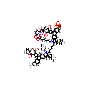 CC[N+]1=C(/C=C/C=C/C=C2\N(CCCCCC(=O)ON3C(=O)CCC3=O)c3cc4c(cc3C2(C)C)-c2ccc(S(=O)(=O)[O-])cc2C4(CCC(C)=O)CCC(C)=O)C(C)(C)c2cc3c(cc21)C(CCC(C)=O)(CCC(C)=O)c1cc(C)ccc1-3